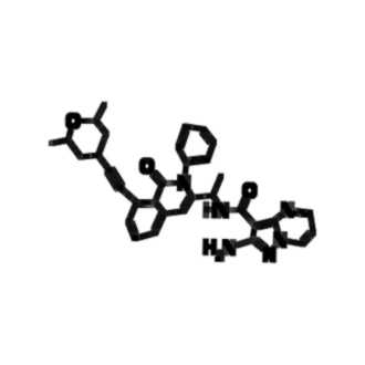 CC1CC(C#Cc2cccc3cc(C(C)NC(=O)c4c(N)nn5cccnc45)n(-c4ccccc4)c(=O)c23)CC(C)O1